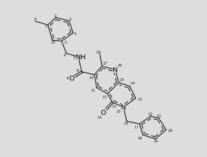 Cc1cccc(CNC(=O)c2cc3c(=O)n(Cc4ccccc4)ccc3nc2C)c1